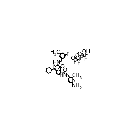 Cc1cc(F)cc(CNc2nc(C3CCCCC3)c3n(c2=O)[C@H](C(=O)NCc2ccc(N)nc2C)CC3)c1.O=C(O)C(F)(F)F.O=C(O)C(F)(F)F